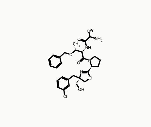 CCCC(N)C(=O)N[C@H](C(=O)N1CCC[C@H]1C1=N[C@](CO)(Cc2cccc(Cl)c2)CO1)[C@@H](C)OCc1ccccc1